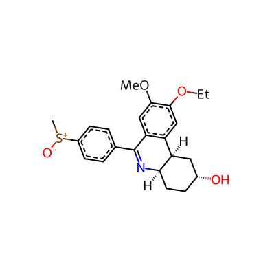 CCOc1cc2c(cc1OC)C(c1ccc([S+](C)[O-])cc1)=N[C@@H]1CC[C@@H](O)C[C@H]21